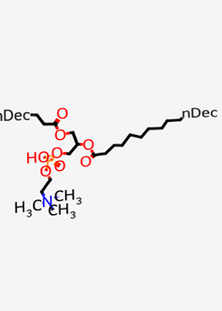 CCCCCCCCCCCCCCCCCCCC(=O)OC(COC(=O)CCCCCCCCCCCC)COP(=O)(O)OCC[N+](C)(C)C